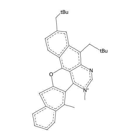 Cc1c2c(cc3ccccc13)Oc1c3ccc(CC(C)(C)C)cc3c(CC(C)(C)C)c3nc[n+](C)c-2c13